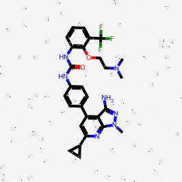 CN(C)CCOc1c(NC(=O)Nc2ccc(-c3cc(C4CC4)nc4c3c(N)nn4C)cc2)cccc1C(F)(F)F